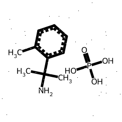 Cc1ccccc1C(C)(C)N.O=P(O)(O)O